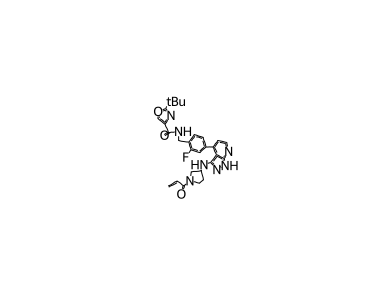 C=CC(=O)N1CC[C@@H](Nc2n[nH]c3nccc(-c4ccc(CNC(=O)c5coc(C(C)(C)C)n5)c(F)c4)c23)C1